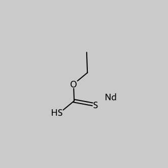 CCOC(=S)S.[Nd]